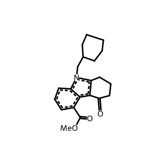 COC(=O)c1cccc2c1c1c(n2CC2CCCCC2)CCCC1=O